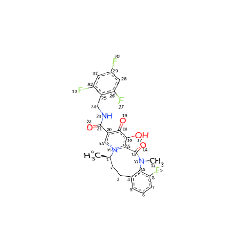 C[C@@H]1CCc2cccc(F)c2N(C)C(=O)c2c(O)c(=O)c(C(=O)NCc3c(F)cc(F)cc3F)cn21